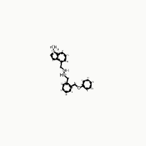 Cn1ccc2c(CNNCc3ccccc3COc3ccccc3)cccc21